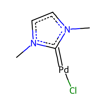 Cn1ccn(C)[c]1=[Pd][Cl]